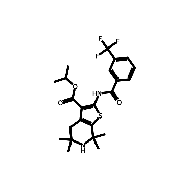 CC(C)OC(=O)c1c(NC(=O)c2cccc(C(F)(F)F)c2)sc2c1CC(C)(C)NC2(C)C